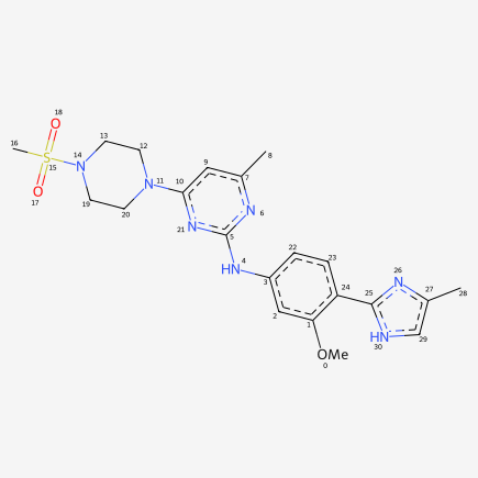 COc1cc(Nc2nc(C)cc(N3CCN(S(C)(=O)=O)CC3)n2)ccc1-c1nc(C)c[nH]1